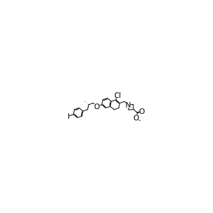 COC(=O)C1CN(CC2=C(Cl)c3ccc(OC[C@@H](C)Cc4ccc(I)cc4)cc3CC2)C1